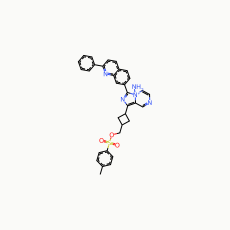 Cc1ccc(S(=O)(=O)OCC2CC(C3=C4C=NC=C[N+]4(N)C(c4ccc5ccc(-c6ccccc6)nc5c4)=N3)C2)cc1